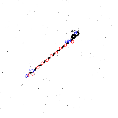 C=NOCC(=O)NCCOCCOCCOCCOCCOCCOCCOCCNC(=O)c1ccc2c(c1)CC[C@@H](C)N2C(C)=O